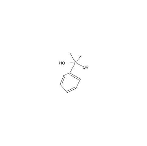 CP(C)(O)(O)c1ccccc1